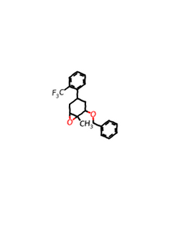 CC12OC1CC(c1ccccc1C(F)(F)F)CC2OCc1ccccc1